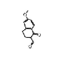 COc1ccc2c(c1)CCC(C=O)C2=O